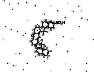 CC1(C)C2=C3C=C4C5=[N+](CCC4OC3CCC2c2ccc3cc(S(=O)(=O)O)ccc3c21)c1ccc2ccccc2c1C5(C)C